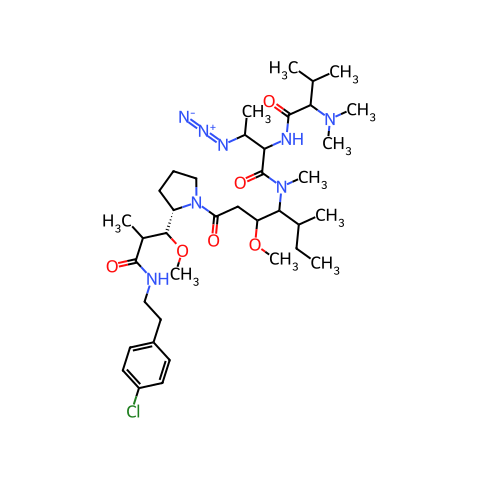 CCC(C)C(C(CC(=O)N1CCC[C@H]1C(OC)C(C)C(=O)NCCc1ccc(Cl)cc1)OC)N(C)C(=O)C(NC(=O)C(C(C)C)N(C)C)C(C)N=[N+]=[N-]